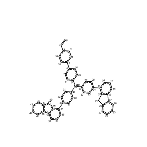 C=Cc1ccc(-c2ccc(N(c3ccc(-c4cccc5c4Cc4ccccc4-5)cc3)c3ccc(-c4cccc5c4oc4ccccc45)cc3)cc2)cc1